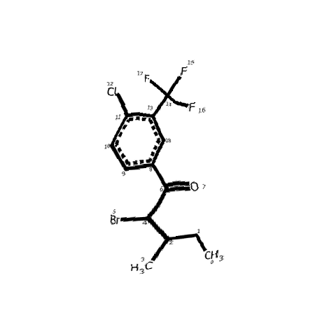 CCC(C)C(Br)C(=O)c1ccc(Cl)c(C(F)(F)F)c1